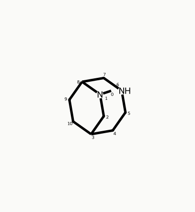 CN1CC2CCNCC1CC2